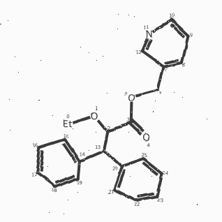 CCOC(C(=O)OCc1cccnc1)C(c1ccccc1)c1ccccc1